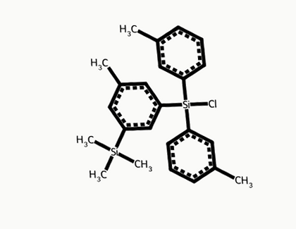 Cc1cccc([Si](Cl)(c2cccc(C)c2)c2cc(C)cc([Si](C)(C)C)c2)c1